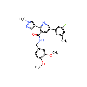 COc1ccc(CNC(=O)c2cc(-c3cc(C)cc(F)c3)cnc2-c2cnn(C)c2)cc1OC